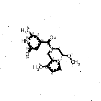 COCCN(Cc1sccc1C)C(=O)c1cc(C)[nH]c(=O)c1